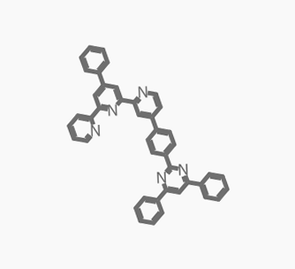 c1ccc(-c2cc(-c3ccccn3)nc(-c3cc(-c4ccc(-c5nc(-c6ccccc6)cc(-c6ccccc6)n5)cc4)ccn3)c2)cc1